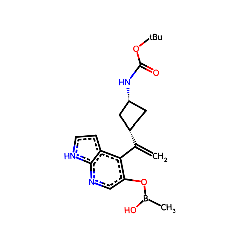 C=C(c1c(OB(C)O)cnc2[nH]ccc12)[C@H]1C[C@@H](NC(=O)OC(C)(C)C)C1